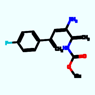 C=C(NC(=O)OC(C)(C)C)/C(N)=C\C(=C)c1ccc(F)cc1